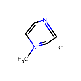 C[n+]1ccncc1.[K+]